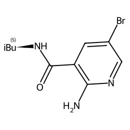 CC[C@H](C)NC(=O)c1cc(Br)cnc1N